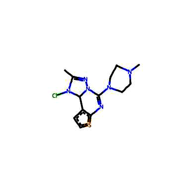 CC1=NN2C(N3CCN(C)CC3)=Nc3sccc3C2N1Cl